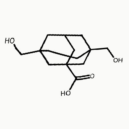 O=C(O)C12CC3CC(CO)(CC(CO)(C3)C1)C2